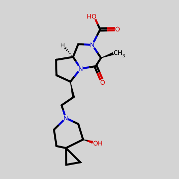 C[C@H]1C(=O)N2[C@@H](CCN3CCC4(CC4)[C@H](O)C3)CC[C@H]2CN1C(=O)O